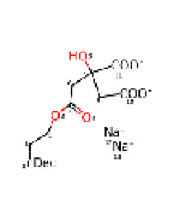 CCCCCCCCCCCCOC(=O)CC(O)(CC(=O)[O-])C(=O)[O-].[Na+].[Na+]